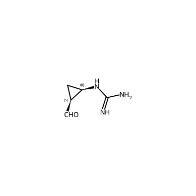 N=C(N)N[C@@H]1C[C@@H]1C=O